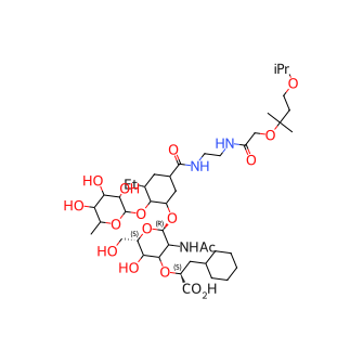 CCC1CC(C(=O)NCCNC(=O)COC(C)(C)CCOC(C)C)CC(O[C@@H]2O[C@@H](CO)C(O)C(O[C@@H](CC3CCCCC3)C(=O)O)C2NC(C)=O)C1OC1OC(C)C(O)C(O)C1O